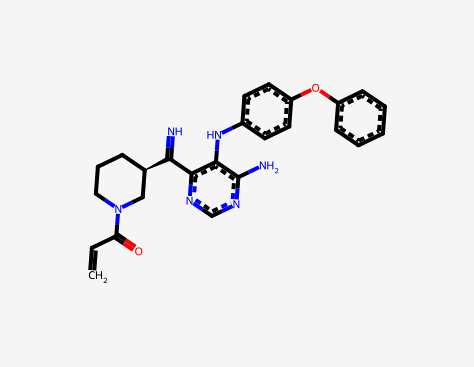 C=CC(=O)N1CCC[C@@H](C(=N)c2ncnc(N)c2Nc2ccc(Oc3ccccc3)cc2)C1